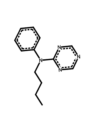 CCCCN(c1ccccc1)c1ncncn1